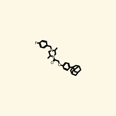 CC1CN(C(=O)COc2ccc(C34CC5CC(CC(C5)C3)C4)cc2)C(C)CN1Cc1ccc(F)cc1